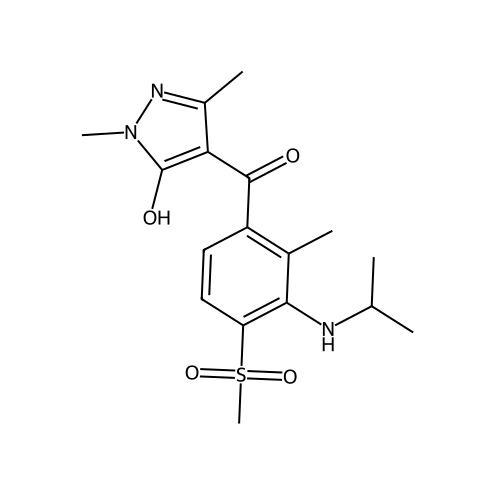 Cc1nn(C)c(O)c1C(=O)c1ccc(S(C)(=O)=O)c(NC(C)C)c1C